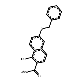 COC(=O)c1ccc2cc(OCc3ccccc3)ccc2c1O